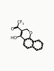 O=C(C1=C(O)c2ccc3ccccc3c2OC1)C(F)(F)F